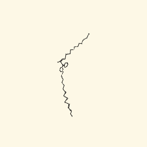 CCCCCCCCCCCCC=C(C)C(=O)OCCCCCCCCCCCCCCC